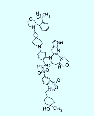 CC(C)c1ccccc1[C@@H]1COCCN1C1CC2(CCN(c3ccc(C(=O)NS(=O)(=O)c4ccc(NCC5CCC(C)(O)CC5)c([N+](=O)[O-])c4)c(N4CC[C@H]5COCCN5c5nc6[nH]ccc6cc54)c3)CC2)C1